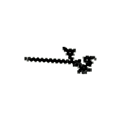 CCCCCCCCCCCCCCCCCCOCC(COc1cc(F)cc(C#N)c1)COP(=O)(O)OC[C@@]1(C#N)O[C@@H](c2ccc3c(N)ncnn23)[C@H](O)[C@@H]1O